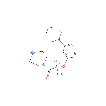 CC(C)(Oc1cccc(N2CCCCC2)c1)C(=O)N1CCNCC1